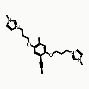 CC#Cc1cc(OCCC[n+]2ccn(C)c2)c(C)cc1OCCC[n+]1ccn(C)c1